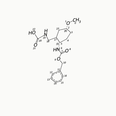 CO[C@@H]1CC[C@H](NC(=O)OCc2ccccc2)C(CNC(=O)O)C1